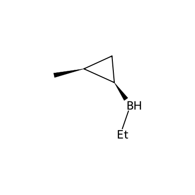 CCB[C@@H]1C[C@@H]1C